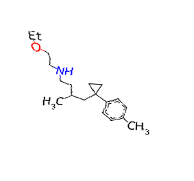 CCOCCNCCC(C)CC1(c2ccc(C)cc2)CC1